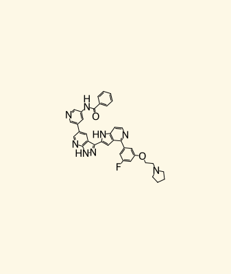 O=C(Nc1cncc(-c2cnc3[nH]nc(-c4cc5c(-c6cc(F)cc(OCCN7CCCC7)c6)nccc5[nH]4)c3c2)c1)c1ccccc1